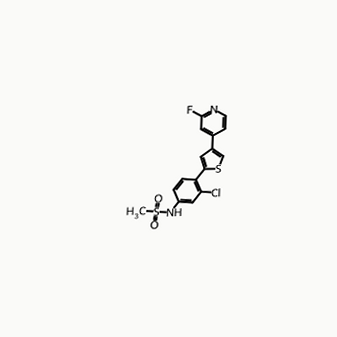 CS(=O)(=O)Nc1ccc(-c2cc(-c3ccnc(F)c3)cs2)c(Cl)c1